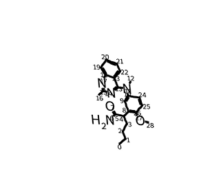 CCCCC(C(N)=O)c1cc(N(C)c2nc(C)nc3ccccc23)ccc1OC